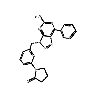 Nc1nc(-c2ccccc2)c2nnn(Cc3cccc(N4CCCC4=O)n3)c2n1